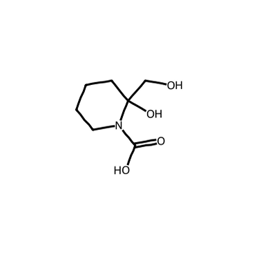 O=C(O)N1CCCCC1(O)CO